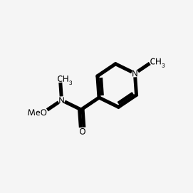 CON(C)C(=O)C1=CCN(C)C=C1